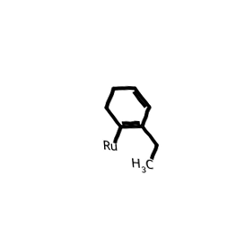 CCC1=[C]([Ru])CCC=C1